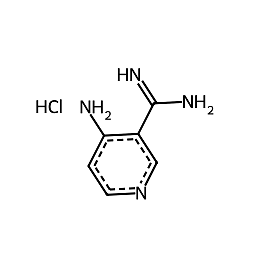 Cl.N=C(N)c1cnccc1N